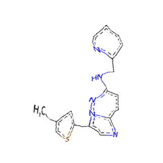 Cc1csc(-c2cnc3ccc(NCc4ccccn4)nn23)c1